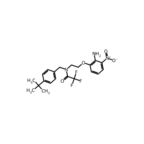 CC(C)(C)c1ccc(CN(CCOc2cccc([N+](=O)[O-])c2N)C(=O)C(F)(F)F)cc1